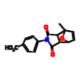 CC12C=CC(O1)C1C(=O)N(c3ccc(C(=O)O)cc3)C(=O)C12